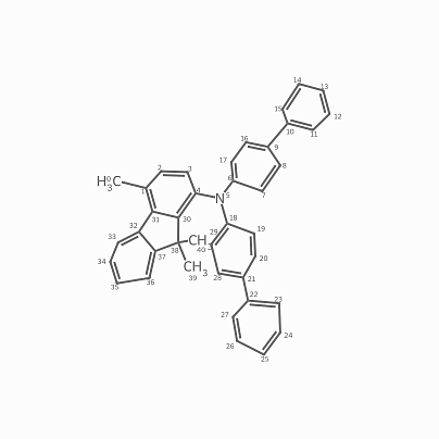 Cc1ccc(N(c2ccc(-c3ccccc3)cc2)c2ccc(-c3ccccc3)cc2)c2c1-c1ccccc1C2(C)C